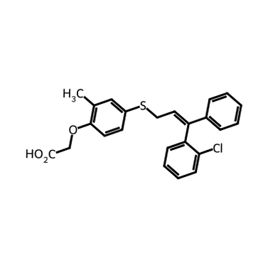 Cc1cc(SCC=C(c2ccccc2)c2ccccc2Cl)ccc1OCC(=O)O